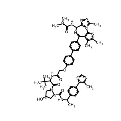 Cc1ncsc1-c1ccc(C(C)NC(=O)[C@@H]2C[C@@H](O)CN2C(=O)C(NC(=O)COc2ccc(-c3ccc(C4=NC(NC(=O)N(C)C)c5nnc(C)n5-c5sc(C)c(C)c54)cc3)cc2)C(C)(C)C)cc1